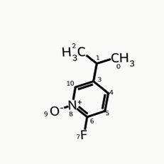 CC(C)c1ccc(F)[n+]([O-])c1